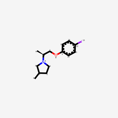 CC1CCN([C@@H](C)COc2ccc(I)cc2)C1